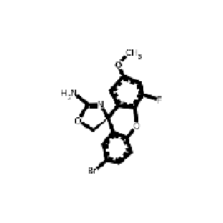 COc1cc(F)c2c(c1)[C@]1(COC(N)=N1)c1cc(Br)ccc1O2